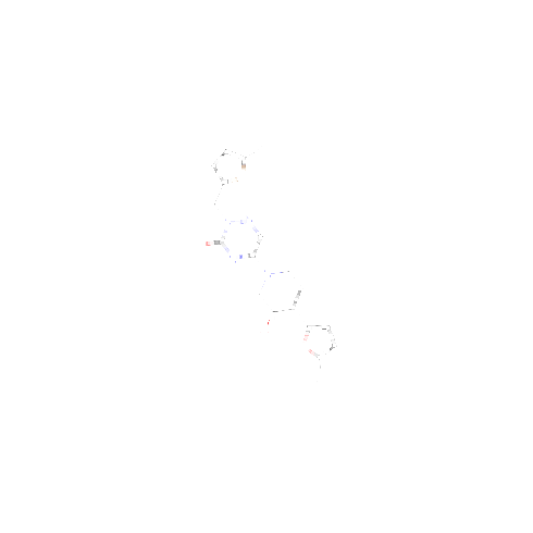 Cc1ccc(C2=CCN(c3cnn(Cc4ccc(C(F)(F)F)s4)c(=O)n3)C[C@@H]2O)o1